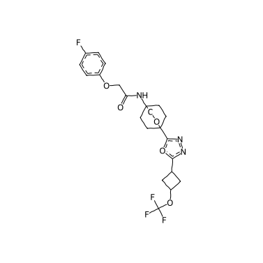 O=C(COc1ccc(F)cc1)NC12CCC(c3nnc(C4CC(OC(F)(F)F)C4)o3)(CC1)OC2